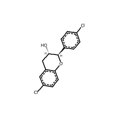 O[C@H]1Cc2cc(Cl)ccc2O[C@@H]1c1ccc(Cl)cc1